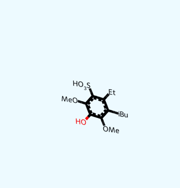 CCc1c(C(C)CC)c(OC)c(O)c(OC)c1S(=O)(=O)O